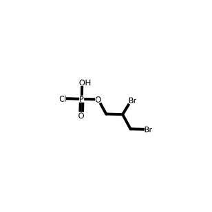 O=P(O)(Cl)OCC(Br)CBr